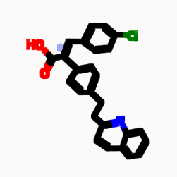 O=C(O)/C(=C/c1ccc(Cl)cc1)c1ccc(CCc2ccc3ccccc3n2)cc1